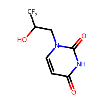 O=c1ccn(CC(O)C(F)(F)F)c(=O)[nH]1